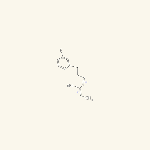 C/C=C(\C=C/CCc1cccc(F)c1)CCC